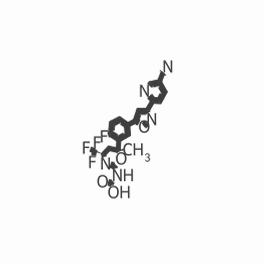 C[C@@]1(c2cc(-c3cc(-c4ccc(C#N)cn4)no3)ccc2F)C[C@@H](C(F)(F)F)N=C(NC(=O)O)O1